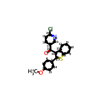 COc1ccc(-c2sc3ccccc3c2C(=O)c2ccc(Cl)nc2)cc1